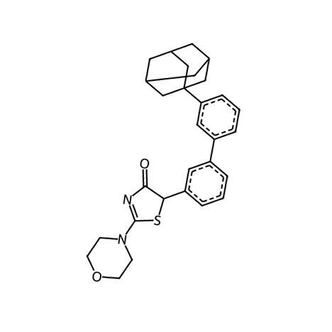 O=C1N=C(N2CCOCC2)SC1c1cccc(-c2cccc(C34CC5CC(CC(C5)C3)C4)c2)c1